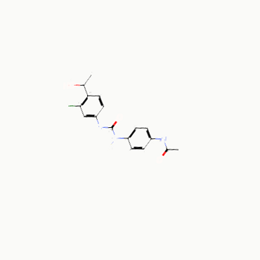 CC(=O)Nc1ccc(N(S)C(=O)Nc2ccc(C(C)O)c(Cl)c2)cc1